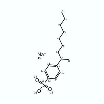 CCCCCCCC(C)c1ccc(S(=O)(=O)[O-])cc1.[Na+]